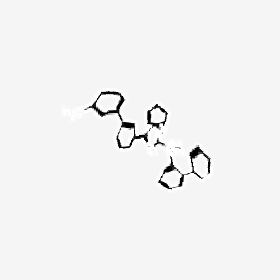 CC1C=CC=C(c2cccc(C3=NC(Nc4ccccc4-c4ccccc4)N4C5C=CC=CC354)c2)C1